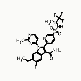 CCc1cc2c(cc1F)c(C(N)=O)c(-c1ccc(S(=O)(=O)N[C@@H](C)C(F)(F)F)cn1)n2-c1ccnc(C)n1